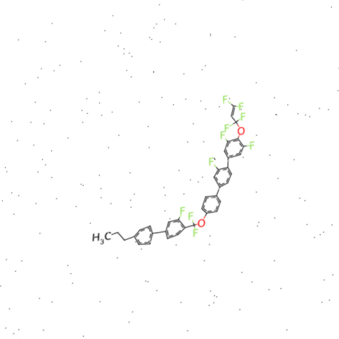 CCCc1ccc(-c2ccc(C(F)(F)Oc3ccc(-c4ccc(-c5cc(F)c(OC(F)(F)C=C(F)F)c(F)c5)c(F)c4)cc3)c(F)c2)cc1